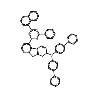 C1=CC(N(c2ccc(-c3ccccc3)cc2)c2ccc(-c3ccccc3)cc2)CC2=C1c1c(cccc1-c1nc(-c3ccccc3)nc(-c3cccc4ccccc34)n1)C2